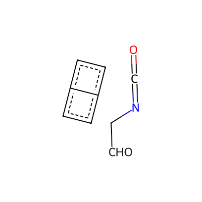 O=C=NCC=O.c1cc2ccc1-2